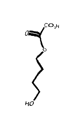 O=C(O)C(=O)OCCCCO